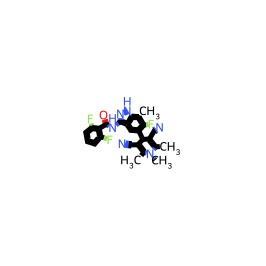 CC1=C(C#N)C(c2cc3c(NC(=O)c4c(F)cccc4F)n[nH]c3c(C)c2F)C(C#N)=C(C)N1C